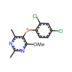 COc1nc(C)nc(C)c1Sc1ccc(Cl)cc1Cl